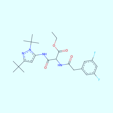 CCOC(=O)C(NC(=O)Cc1cc(F)cc(F)c1)C(=O)Nc1cc(C(C)(C)C)nn1C(C)(C)C